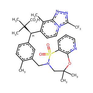 Cc1ccc([C@H](c2ccn3c(C(F)(F)F)nnc3c2C)C(C)(C)C(=O)O)cc1CN1CC(C)(C)Oc2ncccc2S1(=O)=O